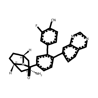 N#Cc1ccc(-c2cc(C(=O)N3[C@@H]4CC[C@H]3C[C@@H](N)C4)ccc2-c2ccc3cncnc3c2)cc1F